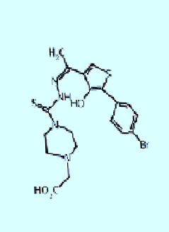 CC(=NNC(=S)N1CCN(CC(=O)O)CC1)c1csc(-c2ccc(Br)cc2)c1O